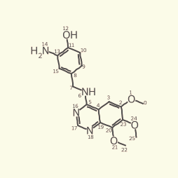 COc1cc2c(NCc3ccc(O)c(N)c3)ncnc2c(OC)c1OC